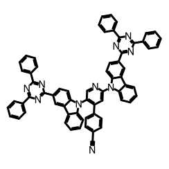 N#Cc1ccc(-c2cc(-n3c4ccccc4c4cc(-c5nc(-c6ccccc6)nc(-c6ccccc6)n5)ccc43)ncc2-n2c3ccccc3c3cc(-c4nc(-c5ccccc5)nc(-c5ccccc5)n4)ccc32)cc1